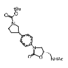 CC(=O)NC[C@H]1CN(c2ccc(C3CCN(C(=O)OC(C)(C)C)C3)cc2)C(=O)O1